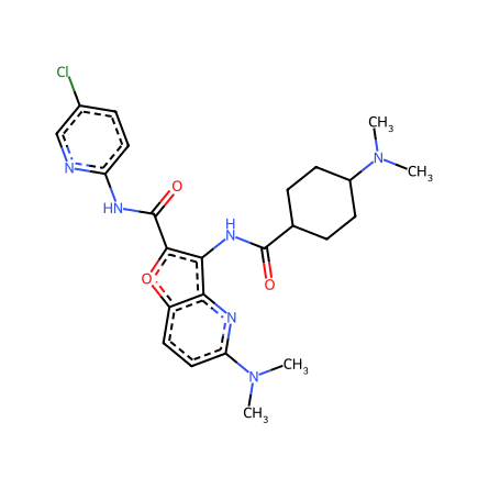 CN(C)c1ccc2oc(C(=O)Nc3ccc(Cl)cn3)c(NC(=O)C3CCC(N(C)C)CC3)c2n1